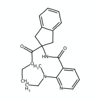 CCOC(=O)C1(NC(=O)c2cccnc2N(C)CC)Cc2ccccc2C1